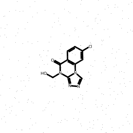 O=c1c2ccc(Cl)cc2n2cnnc2n1CO